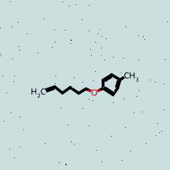 C=CCCCCOc1ccc(C)cc1